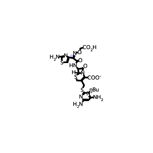 CCCC[n+]1c(N)cc(N)nc1SCC1=C(C(=O)[O-])N2C(=O)C(NC(=O)/C(=N\OCC(=O)O)c3csc(N)n3)[C@H]2SC1